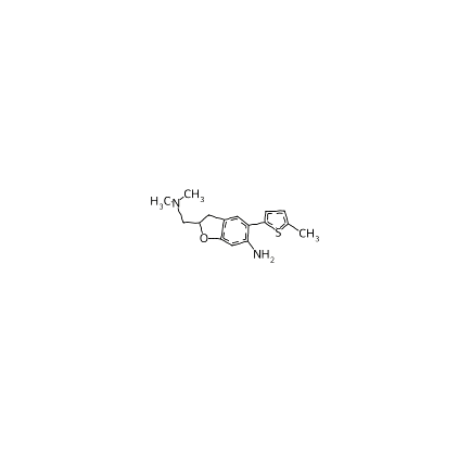 Cc1ccc(-c2cc3c(cc2N)OC(CN(C)C)C3)s1